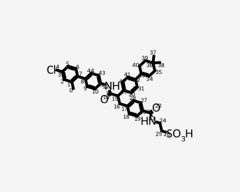 Cc1cc(Cl)ccc1-c1ccc(NC(=O)C(Cc2ccc(C(=O)NCCS(=O)(=O)O)cc2)c2ccc(C3=CCC(C)(C)CC3)cc2)cc1